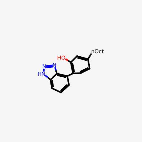 CCCCCCCCc1ccc(-c2cccc3[nH]nnc23)c(O)c1